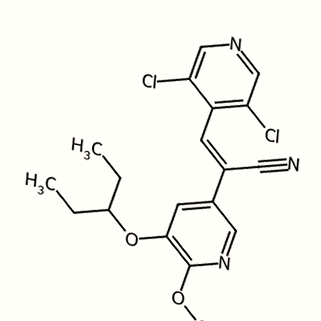 CCC(CC)Oc1cc(/C(C#N)=C/c2c(Cl)cncc2Cl)cnc1OC